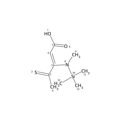 CC(=S)C(=CC(=O)O)N(C)[Si](C)(C)C